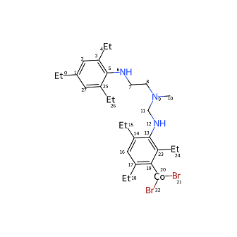 CCc1cc(CC)c(NCCN(C)CNc2c(CC)cc(CC)[c]([Co]([Br])[Br])c2CC)c(CC)c1